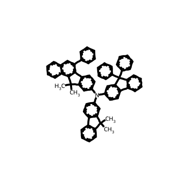 CC1(C)c2ccccc2-c2ccc(N(c3ccc4c(c3)C(C)(C)c3c-4c(-c4ccccc4)cc4ccccc34)c3ccc4c(c3)C(c3ccccc3)(c3ccccc3)c3ccccc3-4)cc21